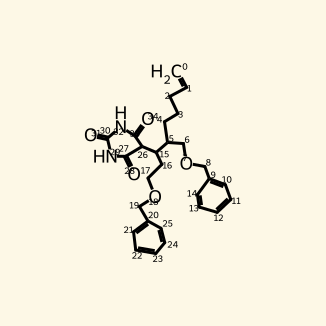 C=CCCCC(COCc1ccccc1)C(CCOCc1ccccc1)C1C(=O)NC(=O)NC1=O